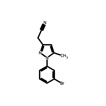 Cc1cc(CC#N)nn1-c1cccc(Br)c1